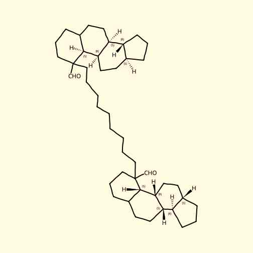 O=CC1(CCCCCCCCCC2(C=O)CCCC3CC[C@H]4[C@@H]5CCC[C@H]5CC[C@H]4[C@H]32)CCCC2CC[C@H]3[C@@H]4CCC[C@H]4CC[C@H]3[C@H]21